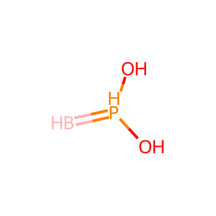 B=[PH](O)O